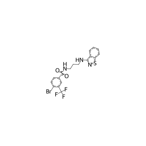 O=S(=O)(NCCCNc1nsc2ccccc12)c1ccc(Br)c(C(F)(F)F)c1